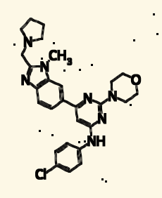 Cn1c(CN2CCCC2)nc2ccc(-c3cc(Nc4ccc(Cl)cc4)nc(N4CCOCC4)n3)cc21